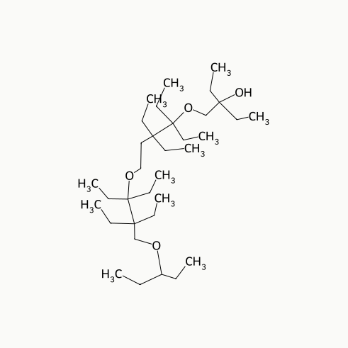 CCC(CC)OCC(CC)(CC)C(CC)(CC)OCCC(CC)(CC)C(CC)(CC)OCC(O)(CC)CC